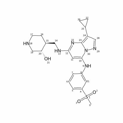 CS(=O)(=O)c1cccc(Nc2cc(NC[C@@H]3CCNC[C@H]3O)nc3c(C4CC4)cnn23)c1